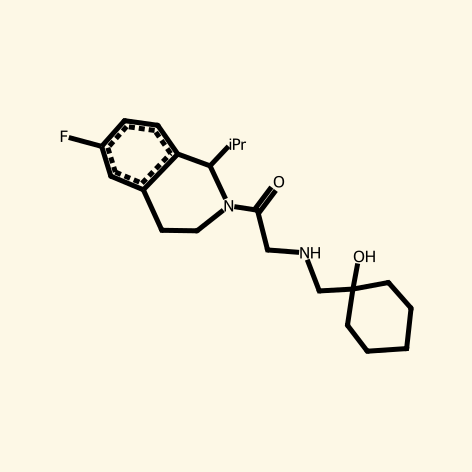 CC(C)C1c2ccc(F)cc2CCN1C(=O)CNCC1(O)CCCCC1